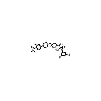 Cc1cc(N2CCC(CC3(C)CCN(C(=O)[C@@]4(O)N(c5cc(F)cc(Cl)c5)C4(F)F)CC3)CC2)ccc1C(=O)N(C)C